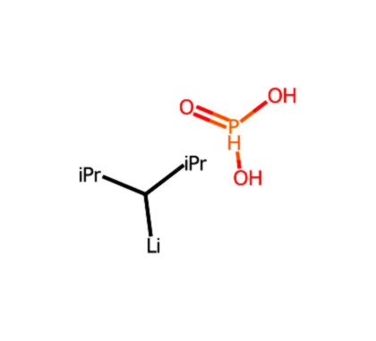 O=[PH](O)O.[Li][CH](C(C)C)C(C)C